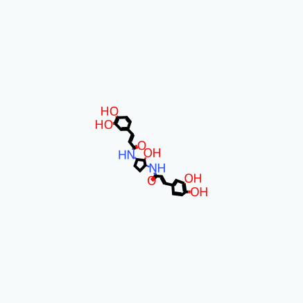 O=C(C=Cc1ccc(O)c(O)c1)N[C@H]1CC[C@@H](NC(=O)C=Cc2ccc(O)c(O)c2)[C@H]1O